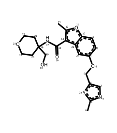 Cc1ncc(COc2ccc3oc(C)c(C(=O)NC4(CO)CCOCC4)c3c2)s1